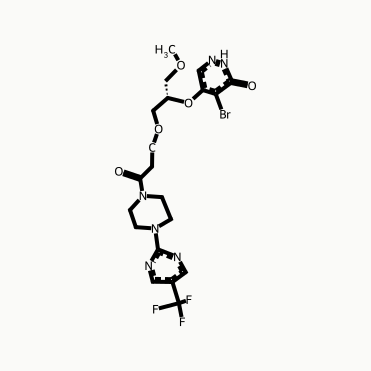 COC[C@@H](COCCC(=O)N1CCN(c2ncc(C(F)(F)F)cn2)CC1)Oc1cn[nH]c(=O)c1Br